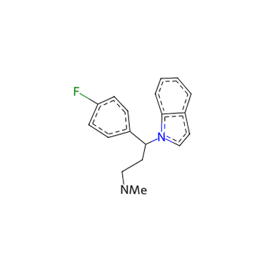 CNCCC(c1ccc(F)cc1)n1ccc2ccccc21